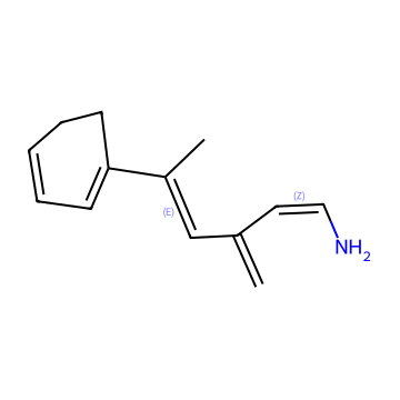 C=C(/C=C\N)/C=C(\C)C1=CC=CCC1